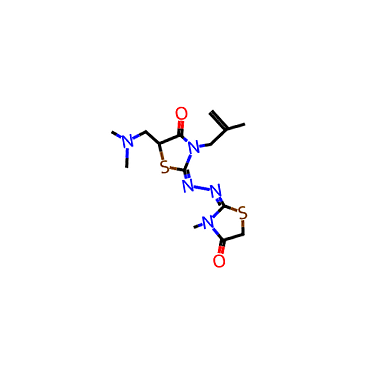 C=C(C)CN1C(=O)C(CN(C)C)S/C1=N/N=C1/SCC(=O)N1C